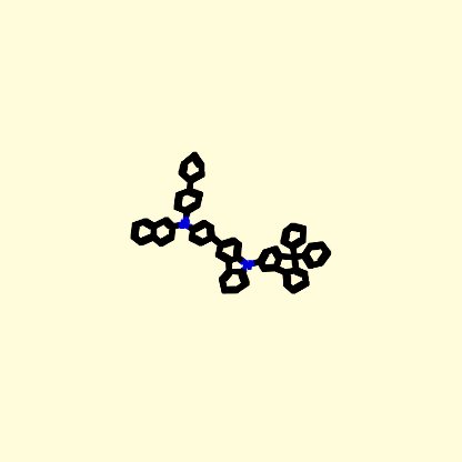 c1ccc(-c2ccc(N(c3ccc(-c4ccc5c(c4)c4ccccc4n5-c4ccc5c(c4)-c4ccccc4C5(c4ccccc4)c4ccccc4)cc3)c3ccc4ccccc4c3)cc2)cc1